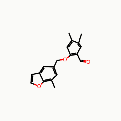 Cc1cc(C=O)c(OCc2cc(C)c3occc3c2)cc1C